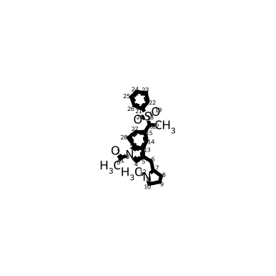 CC(=O)n1cc(CC2CCCN2C)c2cc(C(C)S(=O)(=O)c3ccccc3)ccc21